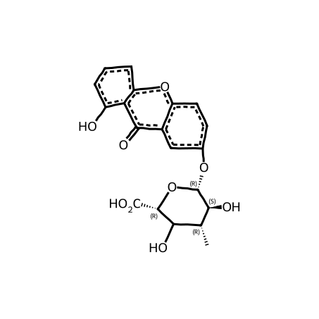 C[C@@H]1C(O)[C@H](C(=O)O)O[C@H](Oc2ccc3oc4cccc(O)c4c(=O)c3c2)[C@H]1O